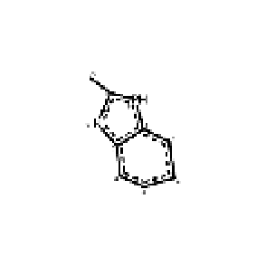 Cc1nc2ccccc2[pH]1